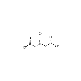 O=C(O)CNCC(=O)O.[Cr]